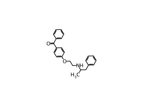 CC(Cc1ccccc1)NCCOc1ccc(C(=O)c2ccccc2)cc1